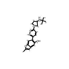 Cc1cc2cc(O)c(-c3ccc(N4CCC(NC(C)(C)C)C4)nn3)cc2o1